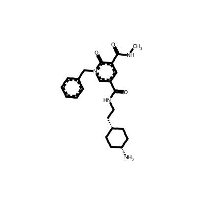 CNC(=O)c1cc(C(=O)NCC[C@H]2CC[C@@H](N)CC2)cn(Cc2ccccc2)c1=O